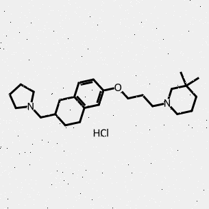 CC1(C)CCCN(CCCOc2ccc3c(c2)CCC(CN2CCCC2)C3)C1.Cl